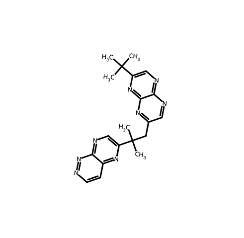 CC(C)(C)c1cnc2ncc(CC(C)(C)c3cnc4nnccc4n3)nc2n1